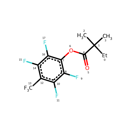 CCC(C)(C)C(=O)Oc1c(F)c(F)c(C(F)(F)F)c(F)c1F